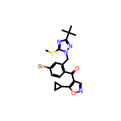 CSc1nc(C(C)(C)C)nn1Cc1cc(Br)ccc1C(=O)c1cnoc1C1CC1